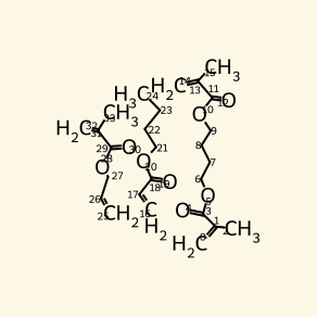 C=C(C)C(=O)OCCCCOC(=O)C(=C)C.C=CC(=O)OCCCC.C=CCOC(=O)C(=C)C